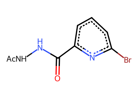 CC(=O)NNC(=O)c1cccc(Br)n1